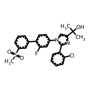 CC(C)(O)c1cn(-c2ccc(-c3cccc(S(C)(=O)=O)c3)c(F)c2)c(-c2ccccc2Cl)n1